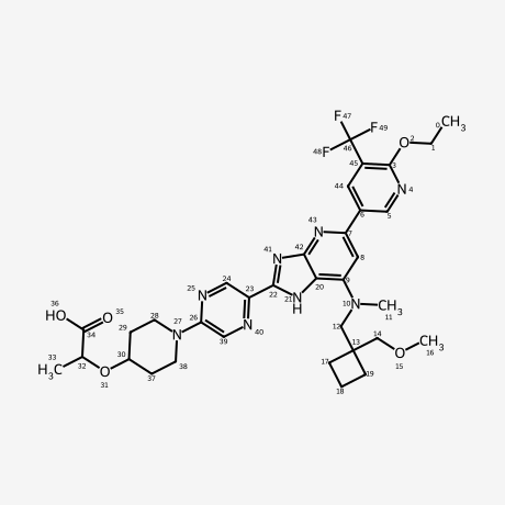 CCOc1ncc(-c2cc(N(C)CC3(COC)CCC3)c3[nH]c(-c4cnc(N5CCC(OC(C)C(=O)O)CC5)cn4)nc3n2)cc1C(F)(F)F